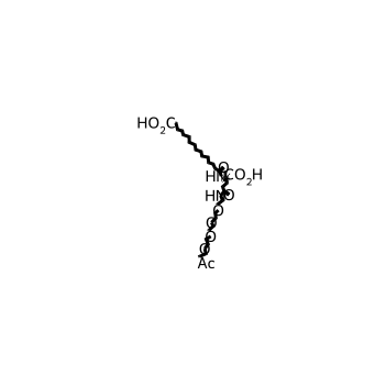 CC(=O)CCOCCOCCOCCOCCNC(=O)CC[C@H](NC(=O)CCCCCCCCCCCCCCC(=O)O)C(=O)O